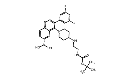 CC(C)(C)OC(=O)NCCNC1CCN(c2c(-c3cc(F)cc(F)c3)cnc3ccc(B(O)O)cc23)CC1